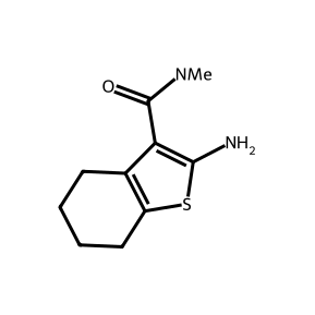 CNC(=O)c1c(N)sc2c1CCCC2